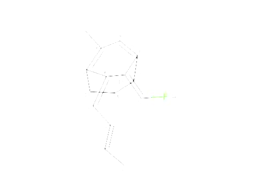 C/C=C/C=c1/c2c(C)cc(/c1=C\F)CCC2